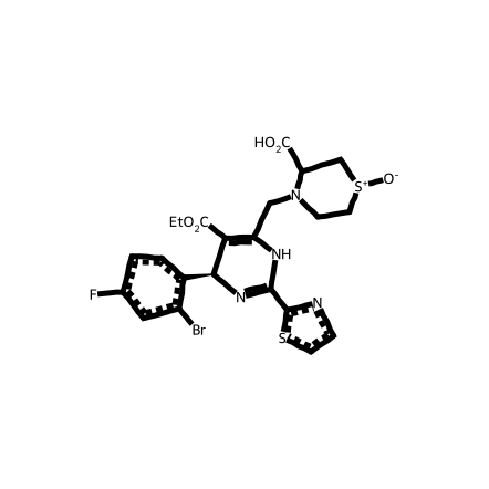 CCOC(=O)C1=C(CN2CC[S+]([O-])CC2C(=O)O)NC(c2nccs2)=N[C@H]1c1ccc(F)cc1Br